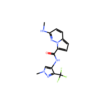 CNc1ccc2ccc(C(=O)Nc3cn(C)nc3C(F)(F)F)n2n1